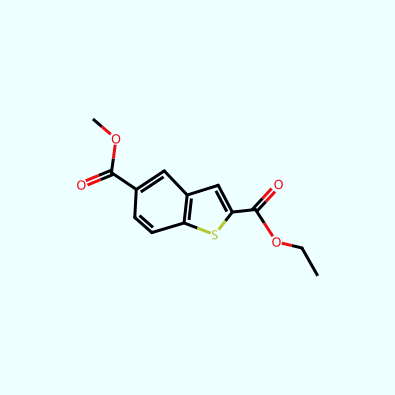 CCOC(=O)c1cc2cc(C(=O)OC)ccc2s1